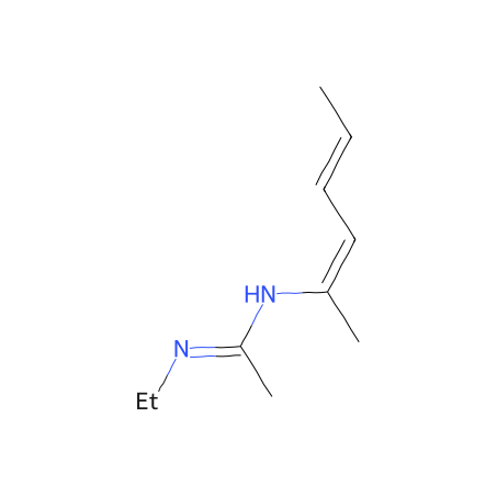 C/C=C/C=C(/C)N/C(C)=N/CC